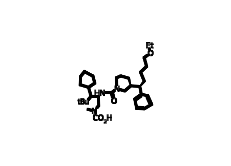 CCOCCCC[C@@H](c1ccccc1)[C@@H]1CCCN(C(=O)NC(CN(C)C(=O)O)C(C2CCCCC2)C(C)(C)C)C1